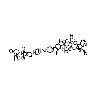 CC1(C)C(NC(=O)c2ccc(N3CCN(CCN4CCN(c5ccc6c(c5)C(=O)N(C5CCC(=O)NC5=O)C6=O)CC4)CC3)c(F)c2)C(C)(C)C1Oc1ccc(C#N)c2ncccc12